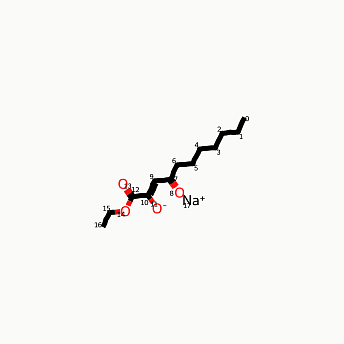 CCCCCCCC(=O)C=C([O-])C(=O)OCC.[Na+]